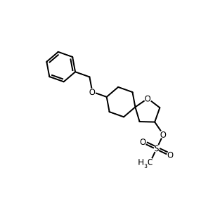 CS(=O)(=O)OC1COC2(CCC(OCc3ccccc3)CC2)C1